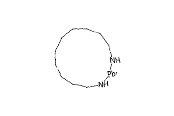 C1CCCCC[NH][Pb][NH]CCCC1